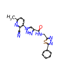 Cc1ccc(-n2cc(C(=O)NCc3nnc(-c4ccccc4)s3)nn2)c(C#N)n1